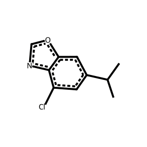 CC(C)c1cc(Cl)c2ncoc2c1